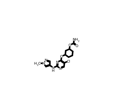 Cn1cc(Nc2ncc(Cl)c(OC3CCCC(OC(N)=O)C3)n2)cn1